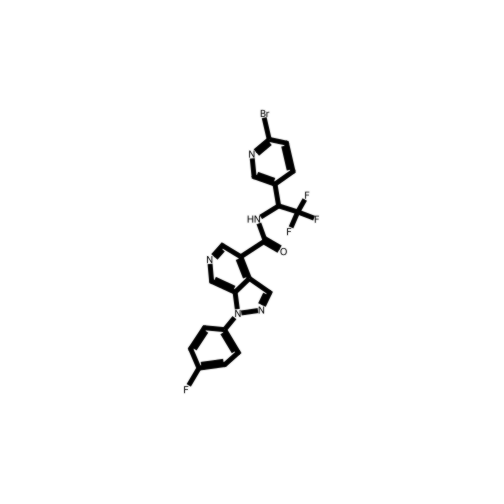 O=C(NC(c1ccc(Br)nc1)C(F)(F)F)c1cncc2c1cnn2-c1ccc(F)cc1